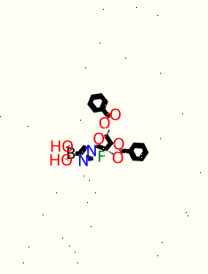 C[C@@]1(F)[C@H](OC(=O)c2ccccc2)[C@@H](COC(=O)c2ccccc2)O[C@H]1n1cnc(B(O)O)c1